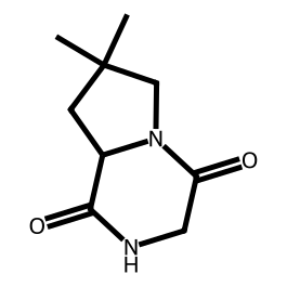 CC1(C)CC2C(=O)NCC(=O)N2C1